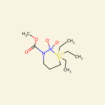 CC[S+]1(CC)(CC)CCCN(C(=O)OC)[N+]1([O-])[O-]